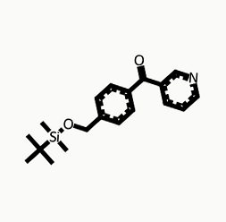 CC(C)(C)[Si](C)(C)OCc1ccc(C(=O)c2cccnc2)cc1